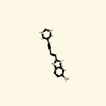 Oc1ccc2nc(/C=C/C#Cc3cn[c]nc3)sc2c1